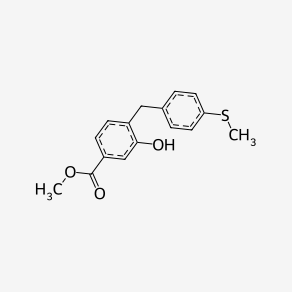 COC(=O)c1ccc(Cc2ccc(SC)cc2)c(O)c1